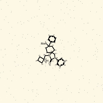 CNC1(c2ccccc2)CCC2(CC1)CN(c1cncnc1)C(=O)N2CC1(O)CCC1